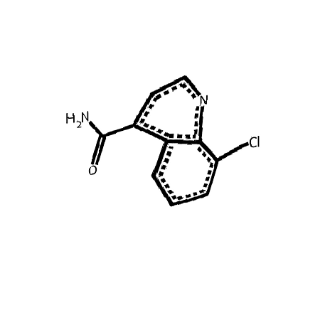 NC(=O)c1ccnc2c(Cl)cccc12